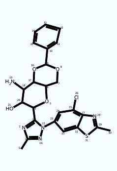 Cc1nc(C2OC3COC(c4ccccc4)OC3C(N)C2O)n(-c2cc(Cl)c3nc(C)sc3c2)n1